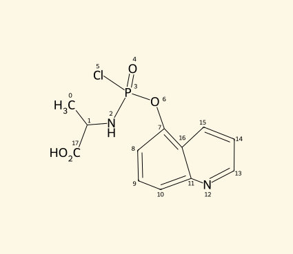 CC(NP(=O)(Cl)Oc1cccc2ncccc12)C(=O)O